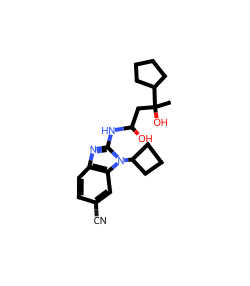 CC(O)(CC(O)Nc1nc2ccc(C#N)cc2n1C1CCC1)C1CCCC1